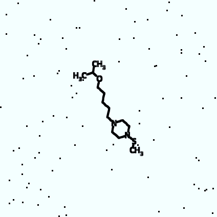 CSN1CCN(CCCCCOC(C)C)CC1